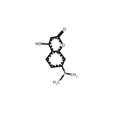 CN(C)c1ccc2c(O)cc(=O)oc2c1